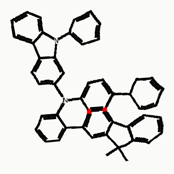 CC1(C)c2ccccc2-c2ccc(-c3ccccc3N(c3ccc(C4C=CC=CC4)cc3)c3ccc4c5ccccc5n(-c5ccccc5)c4c3)cc21